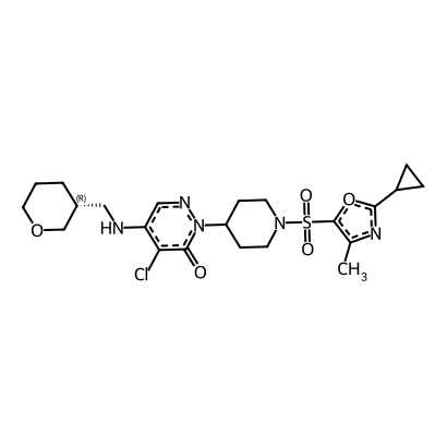 Cc1nc(C2CC2)oc1S(=O)(=O)N1CCC(n2ncc(NC[C@H]3CCCOC3)c(Cl)c2=O)CC1